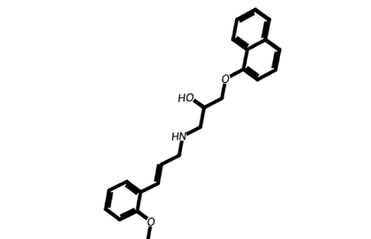 COc1ccccc1C=CCNCC(O)COc1cccc2ccccc12